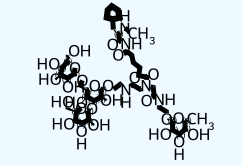 CN[C@@H](Cc1ccccc1)C(=O)NC(=O)CCCCC(=O)N(CC(=O)NCCO[C@@H]1O[C@@H](C)[C@@H](O)[C@@H](O)[C@@H]1O)CC(=O)NCCO[C@H]1O[C@H](CO[C@H]2O[C@H](CO)[C@@H](O)[C@H](O)[C@@H]2O)[C@@H](O)[C@H](O[C@H]2O[C@H](CO)[C@@H](O)[C@H](O)[C@@H]2O)[C@@H]1O